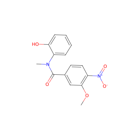 COc1cc(C(=O)N(C)c2ccccc2O)ccc1[N+](=O)[O-]